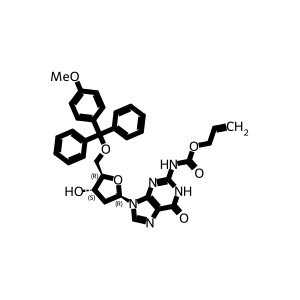 C=CCOC(=O)Nc1nc2c(ncn2[C@H]2C[C@H](O)[C@@H](COC(c3ccccc3)(c3ccccc3)c3ccc(OC)cc3)O2)c(=O)[nH]1